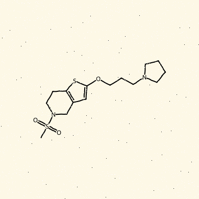 CS(=O)(=O)N1CCc2sc(OCCCN3CCCC3)cc2C1